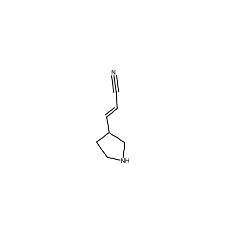 N#CC=CC1CCNC1